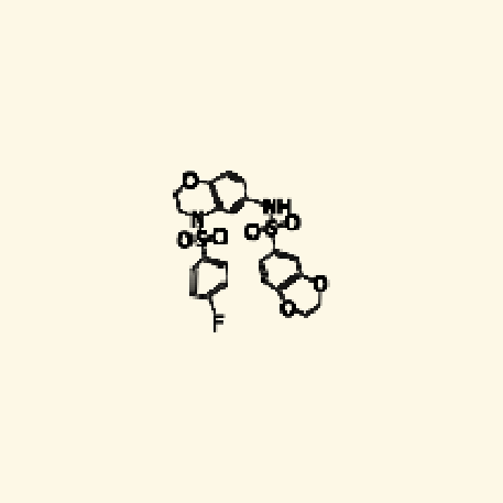 O=S(=O)(Nc1ccc2c(c1)N(S(=O)(=O)c1ccc(F)cc1)CCO2)c1ccc2c(c1)OCCO2